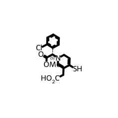 COC(=O)[C@H](c1ccccc1Cl)N1C=C(CC(=O)O)C(S)=CC1